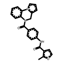 Cc1occc1C(=O)Nc1ccc(C(=O)N2Cc3cccn3-c3ccccc32)cc1